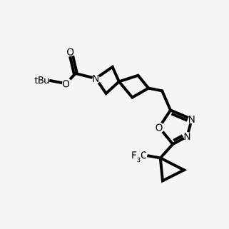 CC(C)(C)OC(=O)N1CC2(CC(Cc3nnc(C4(C(F)(F)F)CC4)o3)C2)C1